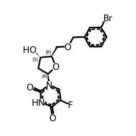 O=c1[nH]c(=O)n([C@H]2C[C@H](O)[C@@H](COCc3cccc(Br)c3)O2)cc1F